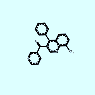 O=C(c1cccnc1)c1cnc2c(C(F)(F)F)cccc2c1-c1ccccc1